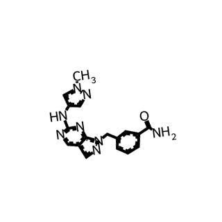 Cn1cc(Nc2ncc3cnn(Cc4cccc(C(N)=O)c4)c3n2)cn1